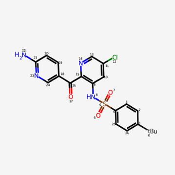 CC(C)(C)c1ccc(S(=O)(=O)Nc2cc(Cl)cnc2C(=O)c2ccc(N)nc2)cc1